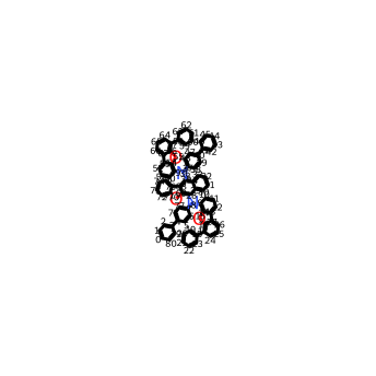 c1ccc(-c2ccc(N(c3cccc4c3oc3c(-c5ccccc5)cccc34)c3c4ccccc4c(N(c4ccc(-c5ccccc5)cc4)c4cccc5c4oc4c(-c6ccccc6)cccc45)c4c3oc3ccccc34)cc2)cc1